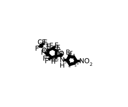 O=C(Nc1ccc([N+](=O)[O-])cc1Br)C1(F)C(F)(F)C(F)(F)C(F)(OC(F)(F)C(F)(F)F)C(F)(F)C1(F)F